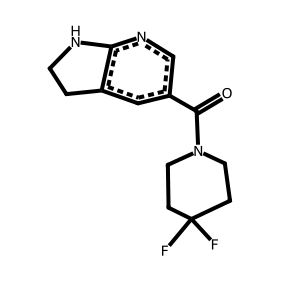 O=C(c1cnc2c(c1)CCN2)N1CCC(F)(F)CC1